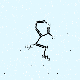 CC(=NN)c1cccnc1Cl